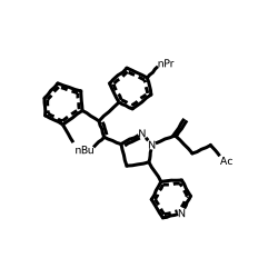 C=C(CCC(C)=O)N1N=C(/C(CCCC)=C(\c2ccc(CCC)cc2)c2ccccc2C)CC1c1ccncc1